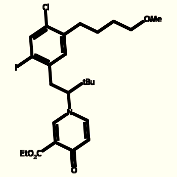 CCOC(=O)c1cn(C(Cc2cc(CCCCOC)c(Cl)cc2I)C(C)(C)C)ccc1=O